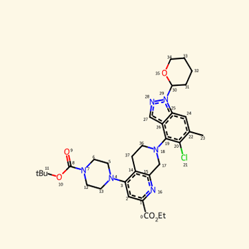 CCOC(=O)c1cc(N2CCN(C(=O)OC(C)(C)C)CC2)c2c(n1)CN(c1c(Cl)c(C)cc3c1cnn3C1CCCCO1)CC2